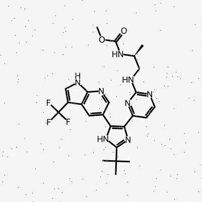 COC(=O)N[C@@H](C)CNc1nccc(-c2nc(C(C)(C)C)[nH]c2-c2cnc3[nH]cc(C(F)(F)F)c3c2)n1